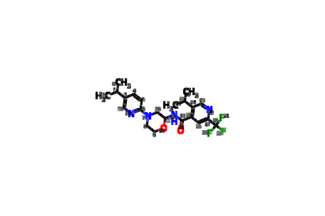 CC(C)c1ccc(N2CCOC(NC(=O)c3cc(C(F)(F)F)ncc3C(C)C)C2)nc1